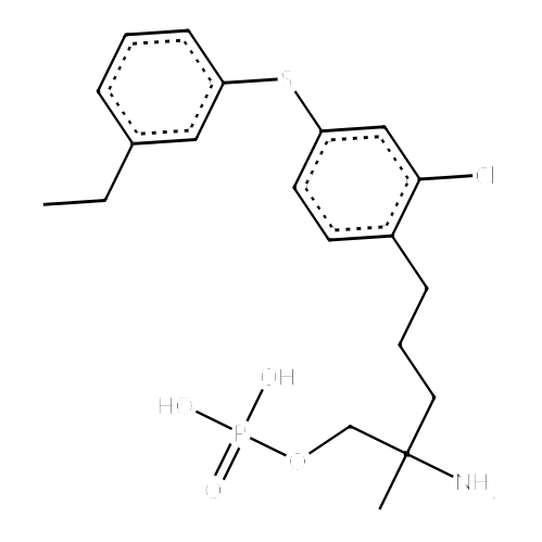 CCc1cccc(Sc2ccc(CCCC(C)(N)COP(=O)(O)O)c(Cl)c2)c1